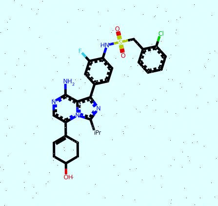 CC(C)c1nc(-c2ccc(NS(=O)(=O)Cc3ccccc3Cl)c(F)c2)c2c(N)ncc(C3=CCC(O)CC3)n12